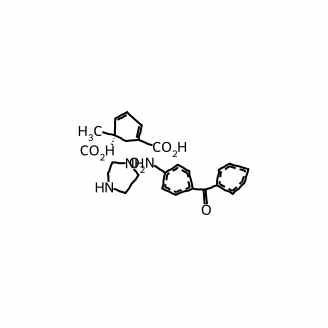 C1CNCCN1.C[C@@]1(C(=O)O)C=CC=C(C(=O)O)C1.O=C(c1ccccc1)c1ccc([N+](=O)[O-])cc1